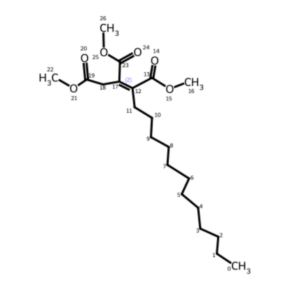 CCCCCCCCCCCC/C(C(=O)OC)=C(\CC(=O)OC)C(=O)OC